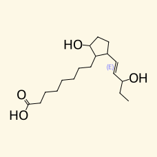 CCC(O)/C=C/C1CCC(O)C1CCCCCCCC(=O)O